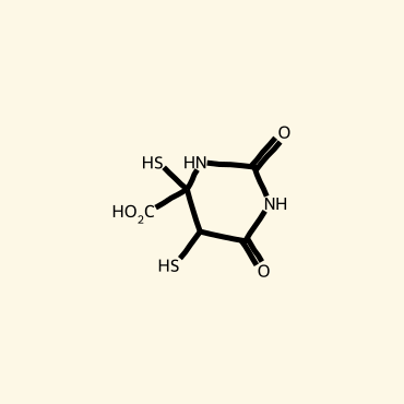 O=C1NC(=O)C(S)C(S)(C(=O)O)N1